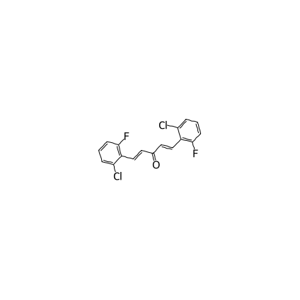 O=C(C=Cc1c(F)cccc1Cl)C=Cc1c(F)cccc1Cl